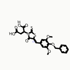 COc1cc(/C=C2\SC(=S)N(C(CC(=O)O)C(=O)O)C2=O)cc(OC)c1OCc1ccccc1